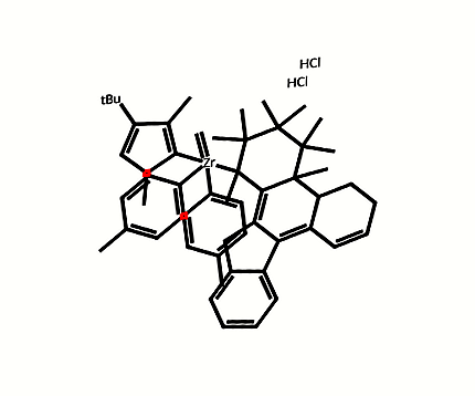 Cl.Cl.[CH2]=[Zr]([C]1=C(C)C(C(C)(C)C)=CC1C)([c]1ccc(C)cc1)([c]1ccc(C)cc1)[C]1(C)C2=C3Cc4ccccc4C3=C3C=CCCC3C2(C)C(C)(C)C(C)(C)C1(C)C